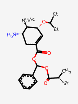 CCC(CC)O[C@@H]1C=C(C(=O)OC(OC(=O)[C@H](C)C(C)C)c2ccccc2)C[C@H](N)[C@H]1NC(C)=O